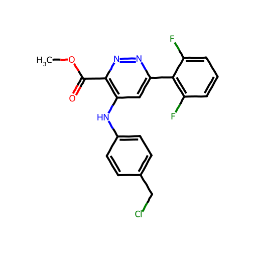 COC(=O)c1nnc(-c2c(F)cccc2F)cc1Nc1ccc(CCl)cc1